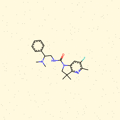 Cc1nc2c(cc1F)N(C(=O)NCC(c1ccccc1)N(C)C)CC2(C)C